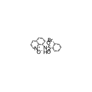 O=S(=O)(Nc1cccc2ccc[n+]([O-])c12)c1ccccc1Br